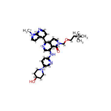 Cn1ccc2c(-c3ncc(Nc4ccc(N5CCC(O)CC5)cn4)c4c(=O)n(COCC[Si](C)(C)C)ccc34)ccnc21